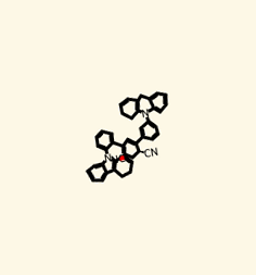 N#CC1=C(c2ccccc2-n2c3c(c4ccccc42)CCC=C3)C=C(c2cccc(N3C4=C(C=CCC4)Cc4ccccc43)c2)[C@@H](C#N)C1